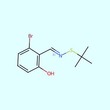 CC(C)(C)S/N=C/c1c(O)cccc1Br